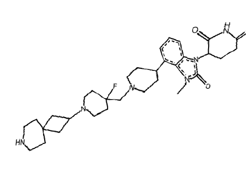 Cn1c(=O)n(C2CCC(=O)NC2=O)c2cccc(C3CCN(CC4(F)CCN(C5CC6(CCNCC6)C5)CC4)CC3)c21